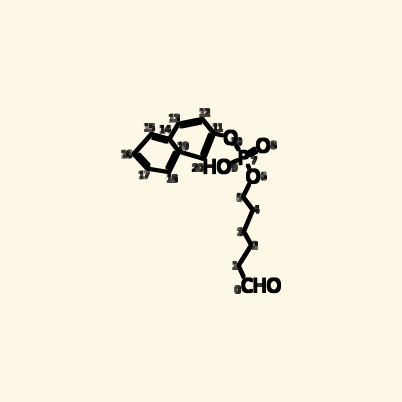 O=CCCCCCOP(=O)(O)Oc1ccc2ccccc2c1